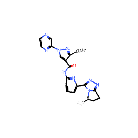 COc1nn(-c2cnccn2)cc1C(=O)Nc1cccc(-c2nnc3n2[C@H](C)CC3)n1